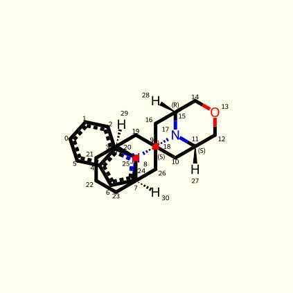 c1ccc2c(c1)ccn2[C@H]1C[C@H]2COC[C@@H](C1)N2[C@H]1C[C@@H]2CCC[C@@H](C2)C1